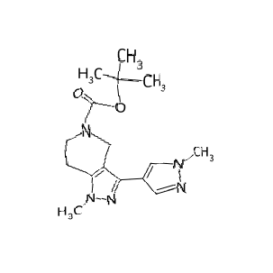 Cn1cc(-c2nn(C)c3c2CN(C(=O)OC(C)(C)C)CC3)cn1